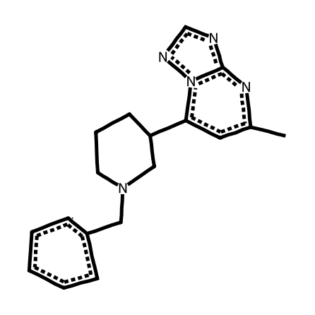 Cc1cc(C2CCCN(Cc3[c]cccc3)C2)n2ncnc2n1